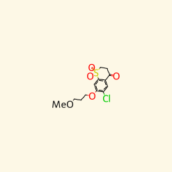 COCCCOc1cc2c(cc1Cl)C(=O)CCS2(=O)=O